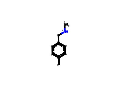 Cc1ccc(CN[SiH3])cc1